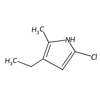 CCc1cc(Cl)[nH]c1C